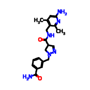 Cc1cc(N)nc(C)c1CNC(=O)C1C=NN(Cc2cccc(C(N)=O)c2)C1